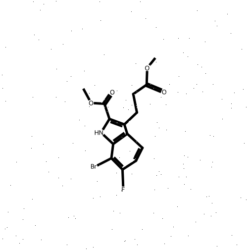 COC(=O)CCc1c(C(=O)OC)[nH]c2c(Br)c(F)ccc12